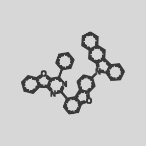 c1ccc(-c2nc(-c3cccc4oc5cc(-n6c7ccccc7c7cc8ccccc8cc76)ccc5c34)nc3c2oc2ccccc23)cc1